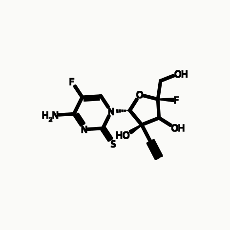 C#C[C@@]1(O)C(O)[C@@](F)(CO)O[C@H]1n1cc(F)c(N)nc1=S